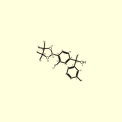 Cc1cccc(C(C)(O)c2ccc(B3OC(C)(C)C(C)(C)O3)c(F)c2)c1